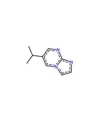 CC(C)c1cnc2nccn2c1